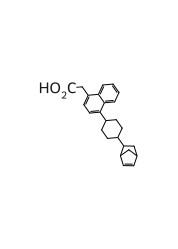 O=C(O)Cc1ccc(C2CCC(C3CC4C=CC3C4)CC2)c2ccccc12